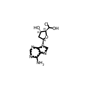 Nc1ncnc2c1ncn2[C@H]1C[C@H](O)[C@@H](C(O)Cl)O1